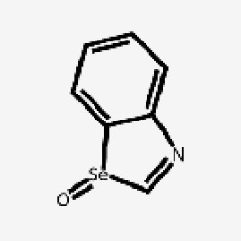 O=[Se]1C=Nc2ccccc21